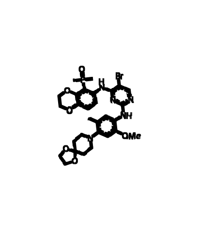 COc1cc(N2CCC3(CC2)OCCO3)c(C)cc1Nc1ncc(Br)c(Nc2ccc3c(c2P(C)(C)=O)OCCO3)n1